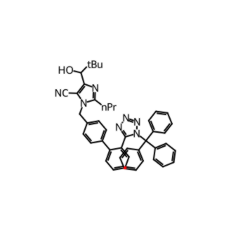 CCCc1nc(C(O)C(C)(C)C)c(C#N)n1Cc1ccc(-c2ccccc2-c2nnnn2C(c2ccccc2)(c2ccccc2)c2ccccc2)cc1